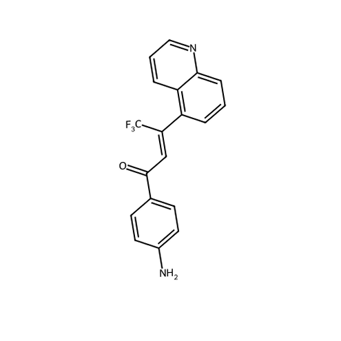 Nc1ccc(C(=O)/C=C(/c2cccc3ncccc23)C(F)(F)F)cc1